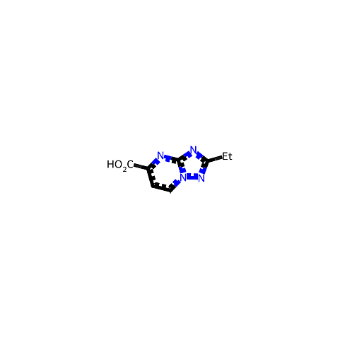 CCc1nc2nc(C(=O)O)c[c]n2n1